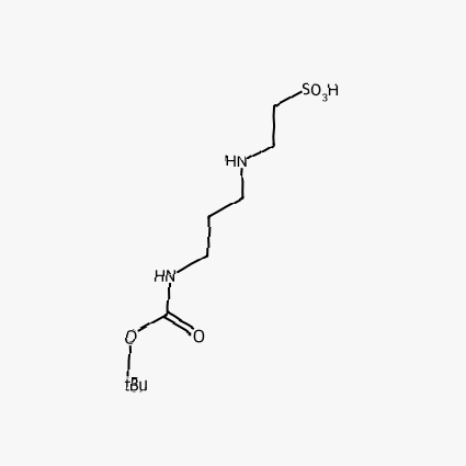 CC(C)(C)OC(=O)NCCCNCCS(=O)(=O)O